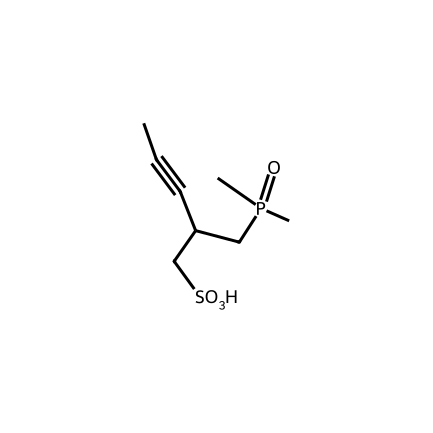 CC#CC(CP(C)(C)=O)CS(=O)(=O)O